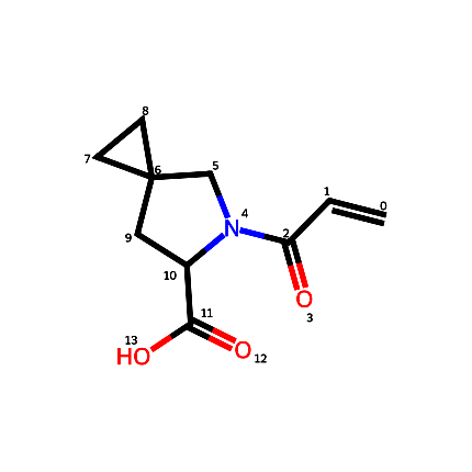 C=CC(=O)N1CC2(CC2)CC1C(=O)O